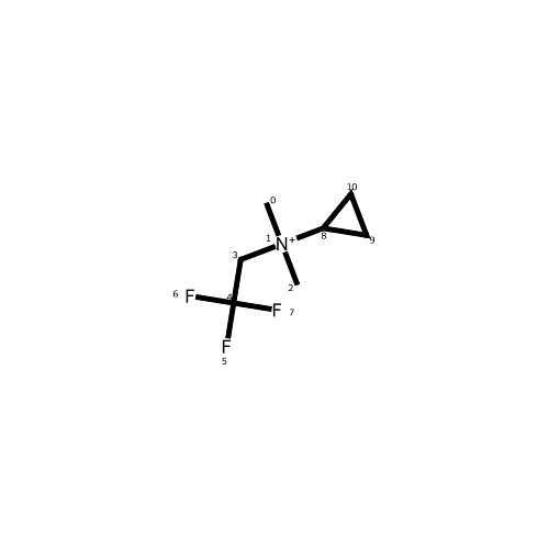 C[N+](C)(CC(F)(F)F)C1CC1